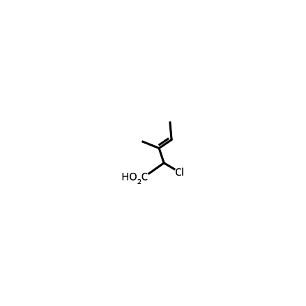 C/C=C(\C)C(Cl)C(=O)O